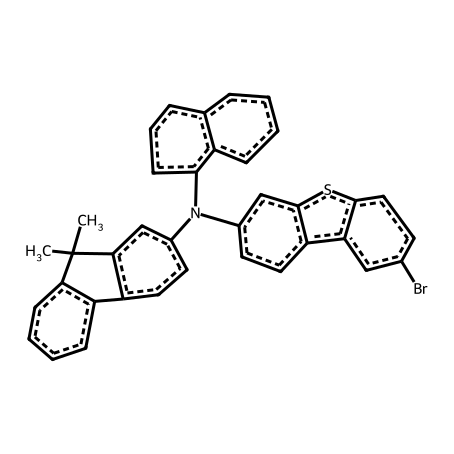 CC1(C)c2ccccc2-c2ccc(N(c3ccc4c(c3)sc3ccc(Br)cc34)c3cccc4ccccc34)cc21